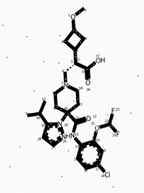 COC1CC([C@@H](CN2CCC(C(=O)Nc3ccc(Cl)cc3OC(F)F)(n3nccc3C(C)C)CC2)C(=O)O)C1